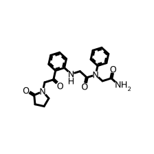 NC(=O)CN(C(=O)CNc1ccccc1C(=O)CN1CCCC1=O)c1ccccc1